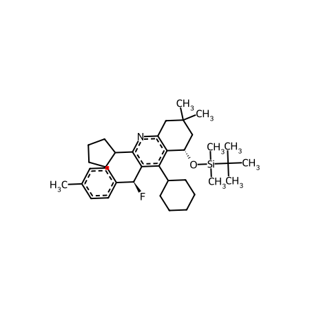 Cc1ccc([C@H](F)c2c(C3CCCC3)nc3c(c2C2CCCCC2)[C@@H](O[Si](C)(C)C(C)(C)C)CC(C)(C)C3)cc1